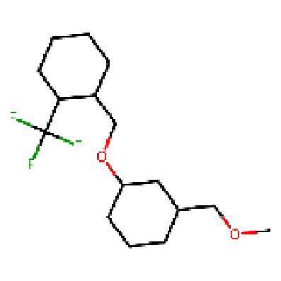 COCC1CCCC(OCC2CCCCC2C(F)(F)F)C1